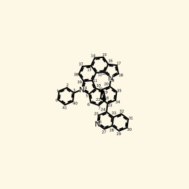 c1ccc(-n2c3ccccc3c3c4c(ccc5ccn(-c6ccc(-c7cncc8ccccc78)cc6)c54)ccc32)cc1